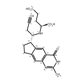 C#CCN(N[C@@H](CCC(=O)O)C(=O)O)[C@H]1CCc2cc3nc(C)[nH]c(=O)c3cc21